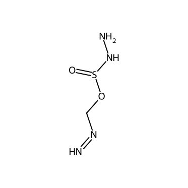 N=NCOS(=O)NN